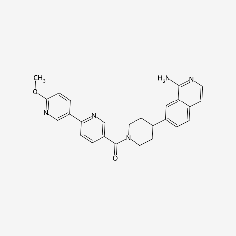 COc1ccc(-c2ccc(C(=O)N3CCC(c4ccc5ccnc(N)c5c4)CC3)cn2)cn1